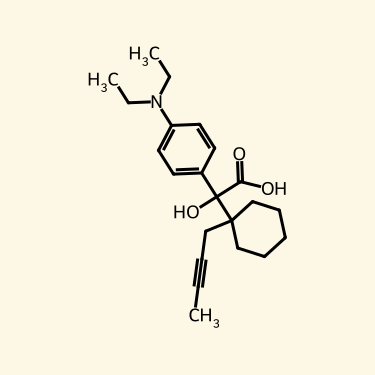 CC#CCC1(C(O)(C(=O)O)c2ccc(N(CC)CC)cc2)CCCCC1